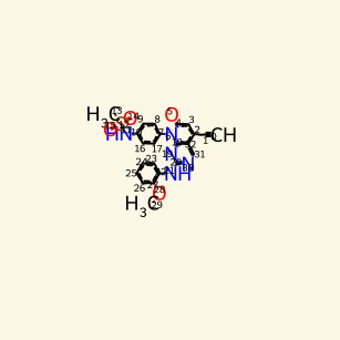 C#Cc1cc(=O)n(-c2ccc(NS(C)(=O)=O)cc2)c2nc(Nc3ccccc3OC)ncc12